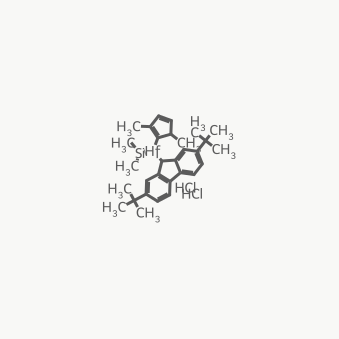 CC1=[C]([Hf]([CH]2c3cc(C(C)(C)C)ccc3-c3ccc(C(C)(C)C)cc32)=[Si](C)C)C(C)C=C1.Cl.Cl